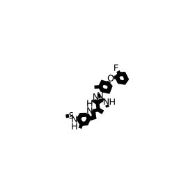 C=C(c1cc2cc(C)c(NSC)cc2[nH]1)c1cnn(-c2ccc(Oc3ccccc3F)cc2C)c1NC